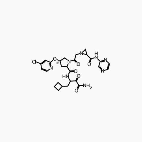 NC(=O)C(=O)C(CC1CCC1)NC(=O)C1C[C@@H](Oc2cc(Cl)ccn2)CN1C(=O)CN1CC1C(=O)Nc1cnccn1